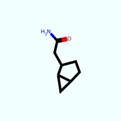 NC(=O)CC1CCC2CC12